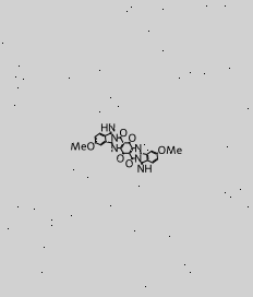 COc1ccc2c(=N)n3c(=O)c4c(=O)c5nc6c7cc(OC)ccc7c(=N)n6c(=O)c5c(=O)c4nc3c2c1